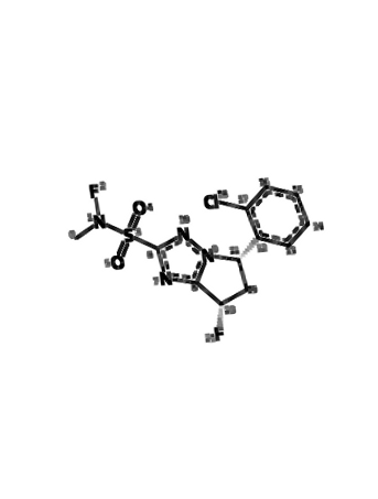 CN(F)S(=O)(=O)c1nc2n(n1)[C@H](c1ccccc1Cl)C[C@@H]2F